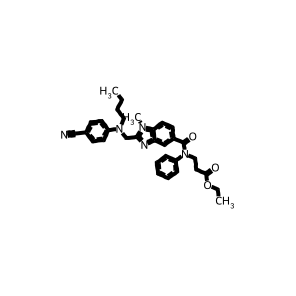 CCCCN(Cc1nc2cc(C(=O)N(CCC(=O)OCC)c3ccccc3)ccc2n1C)c1ccc(C#N)cc1